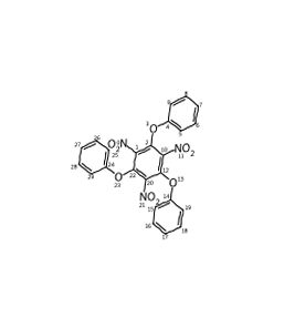 O=[N+]([O-])c1c(Oc2ccccc2)c([N+](=O)[O-])c(Oc2ccccc2)c([N+](=O)[O-])c1Oc1ccccc1